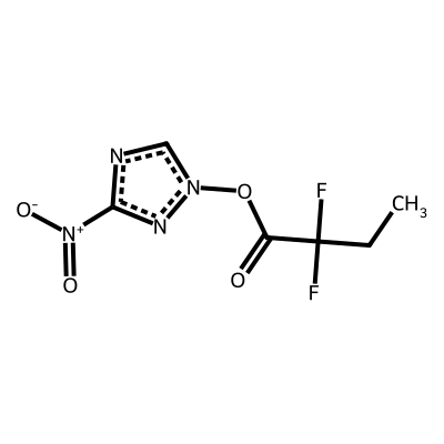 CCC(F)(F)C(=O)On1cnc([N+](=O)[O-])n1